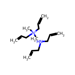 C=CCNCC=C.C=CC[N+](C)(C)CC=C